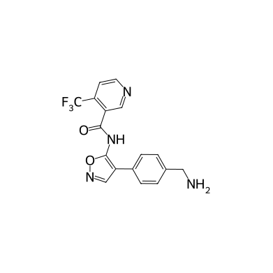 NCc1ccc(-c2cnoc2NC(=O)c2cnccc2C(F)(F)F)cc1